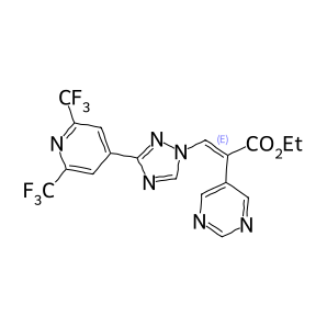 CCOC(=O)/C(=C/n1cnc(-c2cc(C(F)(F)F)nc(C(F)(F)F)c2)n1)c1cncnc1